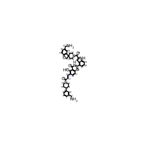 NCc1cccc(C2CCN(C(=O)/C=C/c3ccc4c(c3O)C(=O)NB(c3cccc5[nH]c(C(=O)N6CCC7(CC6)COc6ccc(CN)cc67)cc35)O4)CC2)c1